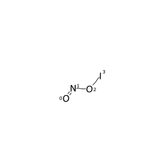 O=NOI